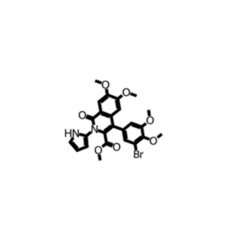 COC(=O)c1c(-c2cc(Br)c(OC)c(OC)c2)c2cc(OC)c(OC)cc2c(=O)n1-c1ccc[nH]1